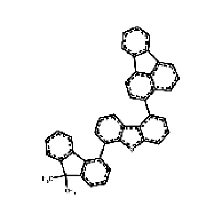 CC1(C)c2ccccc2-c2c(-c3cccc4c3oc3cccc(-c5ccc6c7c(cccc57)-c5ccccc5-6)c34)cccc21